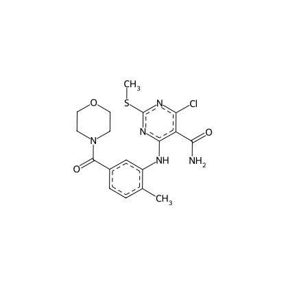 CSc1nc(Cl)c(C(N)=O)c(Nc2cc(C(=O)N3CCOCC3)ccc2C)n1